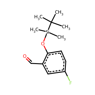 CC(C)(C)[Si](C)(C)Oc1ccc(F)cc1C=O